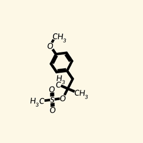 COc1ccc(CC(C)(C)OS(C)(=O)=O)cc1